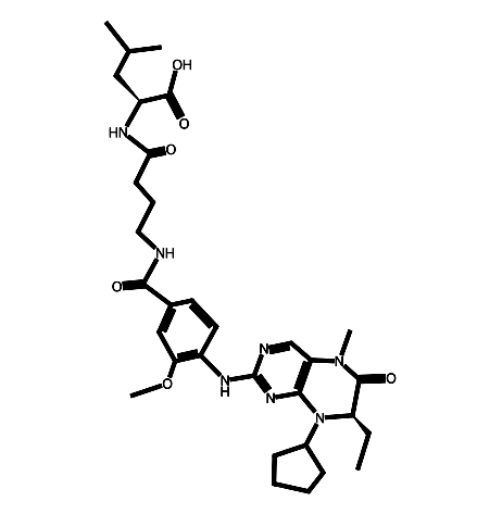 CC[C@@H]1C(=O)N(C)c2cnc(Nc3ccc(C(=O)NCCCC(=O)N[C@@H](CC(C)C)C(=O)O)cc3OC)nc2N1C1CCCC1